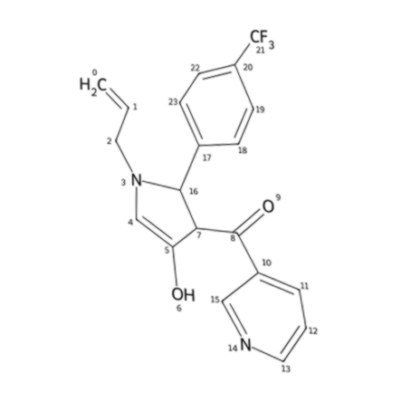 C=CCN1C=C(O)C(C(=O)c2cccnc2)C1c1ccc(C(F)(F)F)cc1